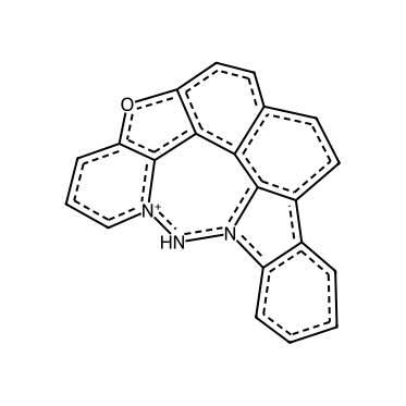 c1ccc2c(c1)c1ccc3ccc4oc5ccc[n+]6[nH]n2c1c3c4c56